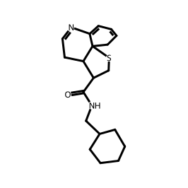 O=C(NCC1CCCCC1)C1CSC23CC=CC=C2N=CCC13